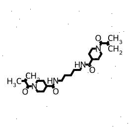 C=C(C)C(=O)N1CCC(C(=O)NCCCCCNC(=O)C2CCN(C(=O)C(=C)C)CC2)CC1